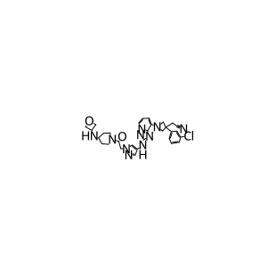 N#CCC1(c2cccc(Cl)c2)CN(c2cccn3nc(Nc4cnn(CC(=O)N5CCC(NC6COC6)CC5)c4)nc23)C1